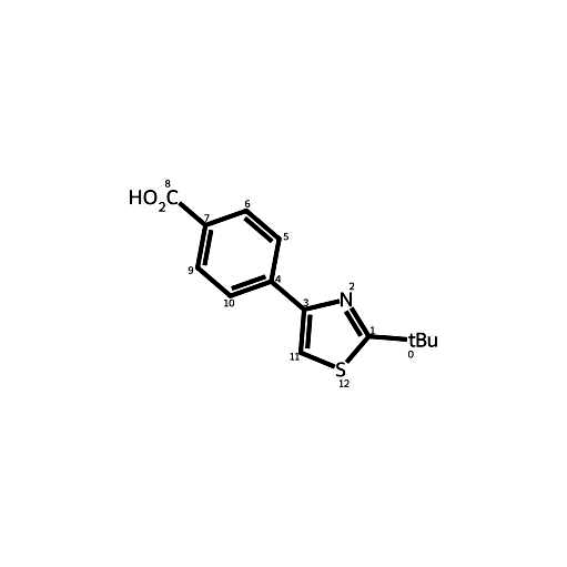 CC(C)(C)c1nc(-c2ccc(C(=O)O)cc2)cs1